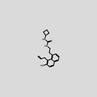 C=CCc1c(S)ccc2cccc(CCNC(=S)NC3CCC3)c12